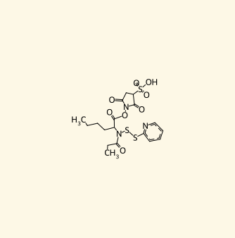 CCCCC(C(=O)ON1C(=O)CC(S(=O)(=O)O)C1=O)N(SSc1ccccn1)C(=O)CC